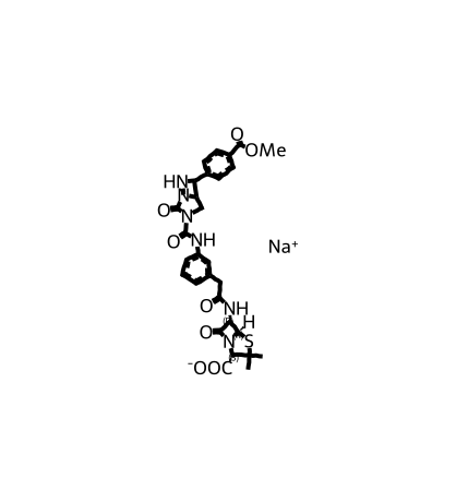 COC(=O)c1ccc(C2NN3C(=O)N(C(=O)Nc4cccc(CC(=O)N[C@@H]5C(=O)N6[C@@H]5SC(C)(C)[C@@H]6C(=O)[O-])c4)CC23)cc1.[Na+]